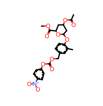 COC(=O)C1CC(OC(C)=O)CC(Oc2ccc(COC(=O)Oc3ccc([N+](=O)[O-])cc3)cc2C)O1